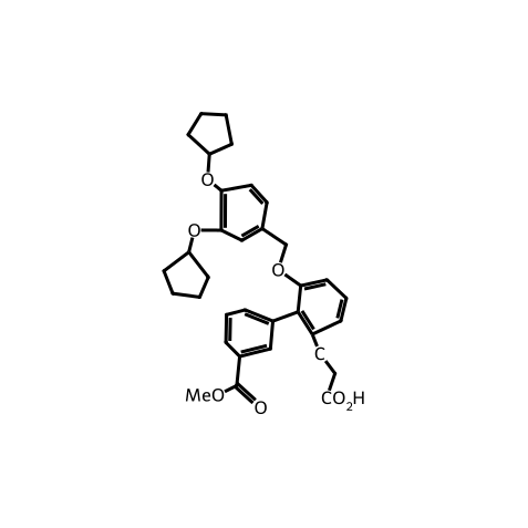 COC(=O)c1cccc(-c2c(CCC(=O)O)cccc2OCc2ccc(OC3CCCC3)c(OC3CCCC3)c2)c1